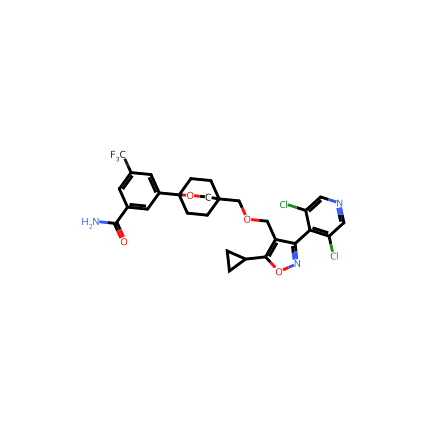 NC(=O)c1cc(C(F)(F)F)cc(C23CCC(COCc4c(-c5c(Cl)cncc5Cl)noc4C4CC4)(CC2)CO3)c1